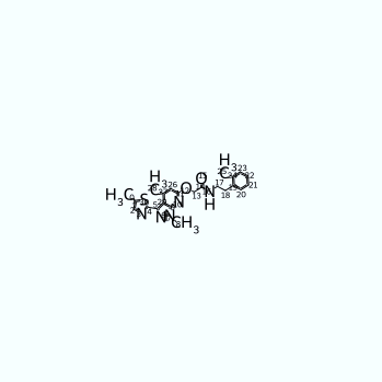 Cc1cnc(-c2nn(C)c3nc(OCC(=O)NCCc4ccccc4C)cc(C)c23)s1